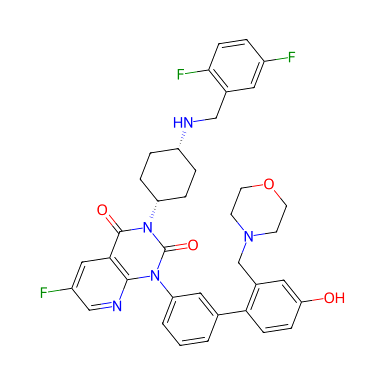 O=c1c2cc(F)cnc2n(-c2cccc(-c3ccc(O)cc3CN3CCOCC3)c2)c(=O)n1[C@H]1CC[C@@H](NCc2cc(F)ccc2F)CC1